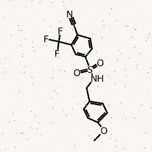 COc1ccc(CNS(=O)(=O)c2ccc(C#N)c(C(F)(F)F)c2)cc1